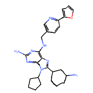 Nc1nc(NCc2ccc(-c3ccco3)nc2)c2nc(C3CCCC(N)C3)n(C3CCCC3)c2n1